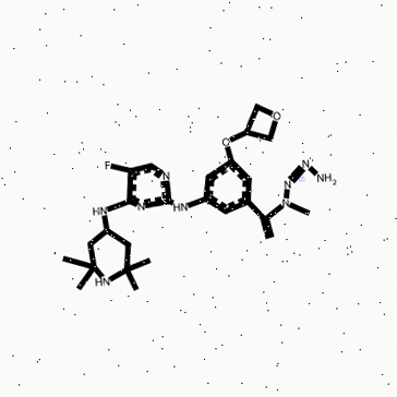 C=C(c1cc(Nc2ncc(F)c(NC3CC(C)(C)NC(C)(C)C3)n2)cc(OC2COC2)c1)N(C)/N=N\N